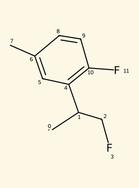 [CH2]C(CF)c1cc(C)ccc1F